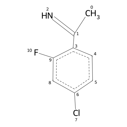 CC(=N)c1ccc(Cl)cc1F